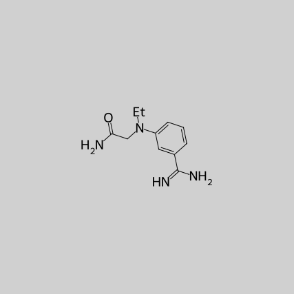 CCN(CC(N)=O)c1cccc(C(=N)N)c1